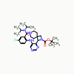 CC(C)N(C(=O)c1cc(F)ccc1Nc1cncnc1C1N(C(=O)OC(C)(C)C)CC12CCNCC2)C(C)C